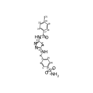 NS(=O)(=O)c1ccc(CNc2nnc(NC(=O)c3ccc(I)cc3)s2)cc1